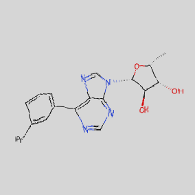 CC(C)c1cccc(-c2ncnc3c2ncn3[C@@H]2O[C@H](C)[C@H](O)[C@H]2O)c1